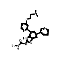 CCNC(=O)Nc1nc2cc(-c3cccnc3)cc(-c3cc(OCCN(C)C)ccn3)c2[nH]1